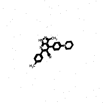 Cc1ccc(-c2nc3[nH]nc(C)c3c(-c3ccc(N4CCCCC4)cc3)c2C#N)cc1